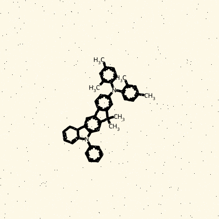 Cc1ccc(N(c2ccc3c(c2)C(C)(C)c2cc4c(cc2-3)C2CC=CC=C2N4c2ccccc2)c2ccc(C)cc2C)c(C)c1